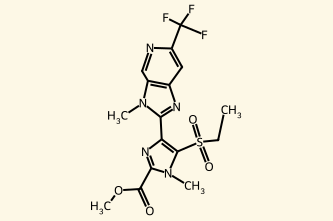 CCS(=O)(=O)c1c(-c2nc3cc(C(F)(F)F)ncc3n2C)nc(C(=O)OC)n1C